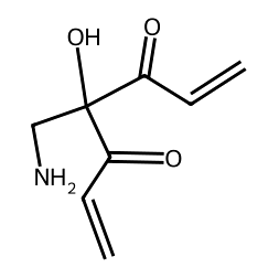 C=CC(=O)C(O)(CN)C(=O)C=C